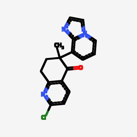 CC1(c2cccn3ccnc23)CCc2nc(Cl)ccc2C1=O